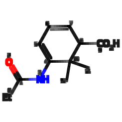 CCC(=O)NC1=CC=CC(C(=O)O)C1(C)C